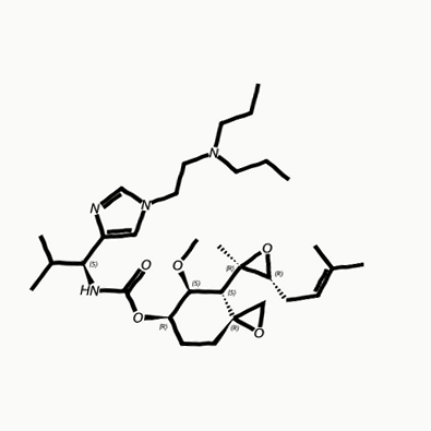 CCCN(CCC)CCn1cnc([C@@H](NC(=O)O[C@@H]2CC[C@]3(CO3)[C@@H]([C@@]3(C)O[C@@H]3CC=C(C)C)[C@@H]2OC)C(C)C)c1